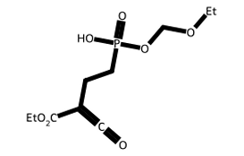 CCOCOP(=O)(O)CCC(=C=O)C(=O)OCC